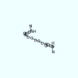 CN(C)CCc1c[nH]c2ccc(CS(=O)(=O)N(C)CCOCCOCCOCCOCCOCCN(C)S(=O)(=O)Cc3ccc4[nH]cc(CCN(C)C)c4c3)cc12